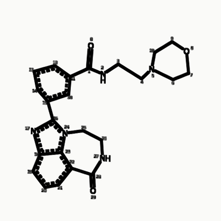 O=C(NCCN1CCOCC1)c1cccc(-c2nc3cccc4c3n2CCNC4=O)c1